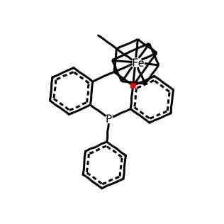 C[C]12[CH]3[CH]4[CH]5[C]1(c1ccccc1P(c1ccccc1)c1ccccc1)[Fe]43521678[CH]2[CH]1[CH]6[CH]7[CH]28